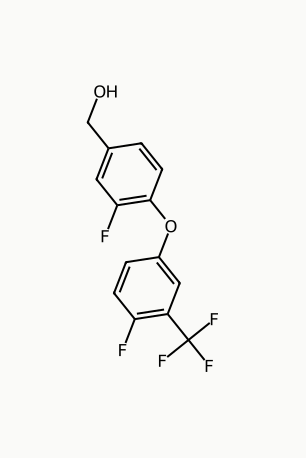 OCc1ccc(Oc2ccc(F)c(C(F)(F)F)c2)c(F)c1